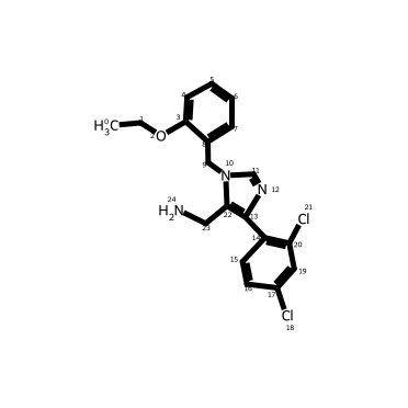 CCOc1ccccc1Cn1cnc(-c2ccc(Cl)cc2Cl)c1CN